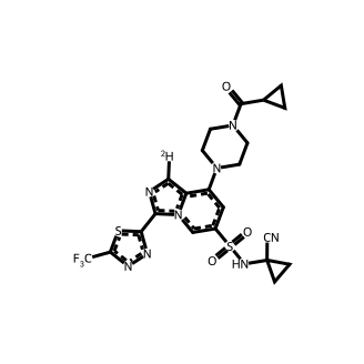 [2H]c1nc(-c2nnc(C(F)(F)F)s2)n2cc(S(=O)(=O)NC3(C#N)CC3)cc(N3CCN(C(=O)C4CC4)CC3)c12